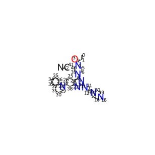 C=CC(=O)N1CCN(c2nc(N3CC(N4CCN(C)CC4)C3)nc3c2CCC(N2CCCc4ccccc42)C3)C[C@@H]1CC#N